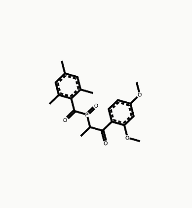 COc1ccc(C(=O)C(C)[P](=O)C(=O)c2c(C)cc(C)cc2C)c(OC)c1